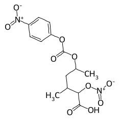 CC(CC(C)C(O[N+](=O)[O-])C(=O)O)OC(=O)Oc1ccc([N+](=O)[O-])cc1